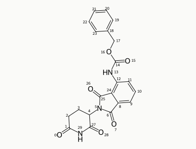 O=C1CCC(N2C(=O)c3cccc(NC(=O)OCc4ccccc4)c3C2=O)C(=O)N1